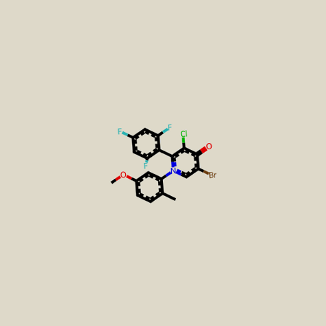 COc1ccc(C)c(-n2cc(Br)c(=O)c(Cl)c2-c2c(F)cc(F)cc2F)c1